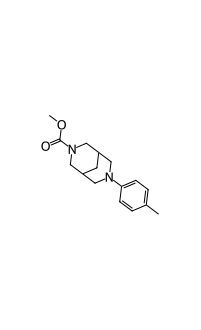 COC(=O)N1CC2CC(C1)CN(c1ccc(C)cc1)C2